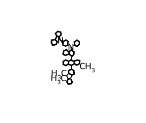 Cc1ccc2c(-c3ccc(N(c4ccccc4)c4ccc(-n5c6ccccc6c6ccccc65)cc4)c4ccccc34)c3ccccc3c(-c3ccc4c(c3)C(C)(C)c3ccccc3-4)c2c1